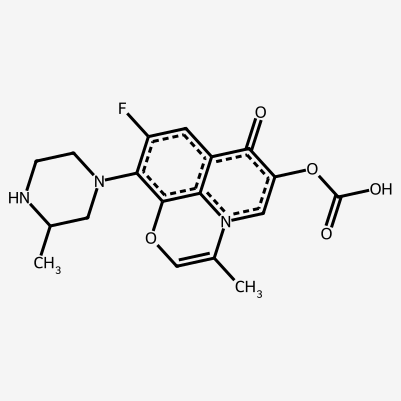 CC1=COc2c(N3CCNC(C)C3)c(F)cc3c(=O)c(OC(=O)O)cn1c23